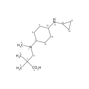 CN(CC(C)(C)C(=O)O)C1CCC(NC2CC2)CC1